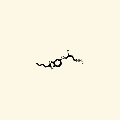 CCCCc1nc2ccc(OC/C(F)=C\CN)cc2o1